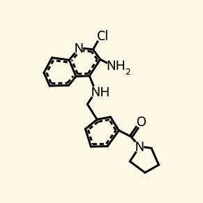 Nc1c(Cl)nc2ccccc2c1NCc1cccc(C(=O)N2CCCC2)c1